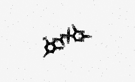 CC(C)c1cc(F)cc(C(C)C)c1NC(=O)NS(=O)(=O)C1CNC(=O)NC1=O